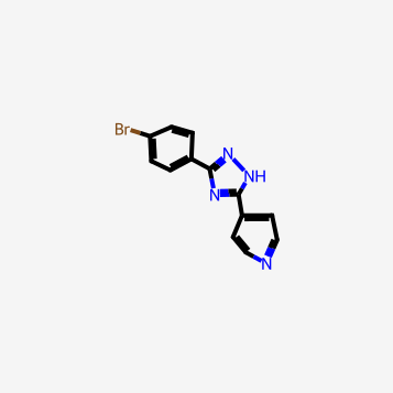 Brc1ccc(-c2n[nH]c(-c3ccncc3)n2)cc1